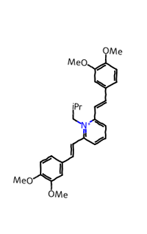 COc1ccc(/C=C/c2cccc(/C=C/c3ccc(OC)c(OC)c3)[n+]2CC(C)C)cc1OC